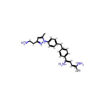 Cc1cc(CCN)nn1-c1ccc(Cc2ccc(/C(N)=C/C=C(\N)C(C)C)cc2)cc1